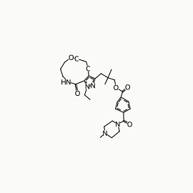 CCn1nc(CC(C)(C)COC(=O)c2ccc(C(=O)N3CCN(C)CC3)cc2)c2c1C(=O)NCCCOCCC2